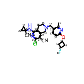 Cc1nc(O[C@H]2C[C@H](F)C2)ccc1CN1CCc2c(NC3(C#N)CC3)nc(Cl)c(C#N)c2C1